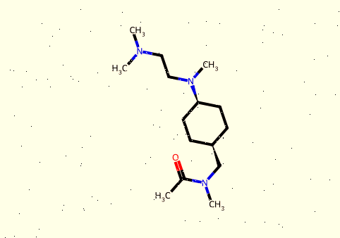 CC(=O)N(C)C[C@H]1CC[C@@H](N(C)CCN(C)C)CC1